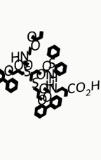 C=CC(=O)OCCNC(=O)OC(COc1ccccc1-c1ccccc1)CSC(COC(=O)Nc1ccccc1Sc1ccccc1)CSCC(COc1ccccc1-c1ccccc1)OC(=O)NCCC(=C)C(=O)O